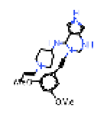 CC=CN1CCC(NC2c3c[nH]cc3NCN2C#Cc2cc(OC)cc(OC)c2)CC1